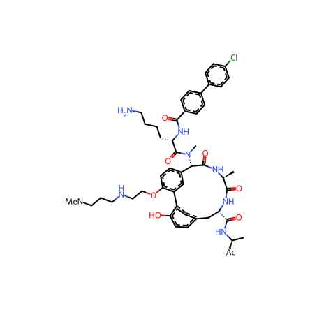 CNCCCNCCOc1ccc2cc1-c1cc(ccc1O)C[C@@H](C(=O)N[C@@H](C)C(C)=O)NC(=O)[C@H](C)NC(=O)[C@H]2N(C)C(=O)[C@H](CCCCN)NC(=O)c1ccc(-c2ccc(Cl)cc2)cc1